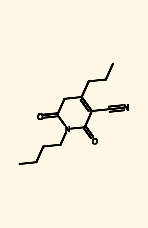 CCCCN1C(=O)CC(CCC)=C(C#N)C1=O